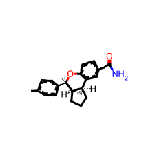 Cc1ccc([C@H]2Oc3ccc(C(N)=O)cc3[C@H]3CCC[C@H]32)cc1